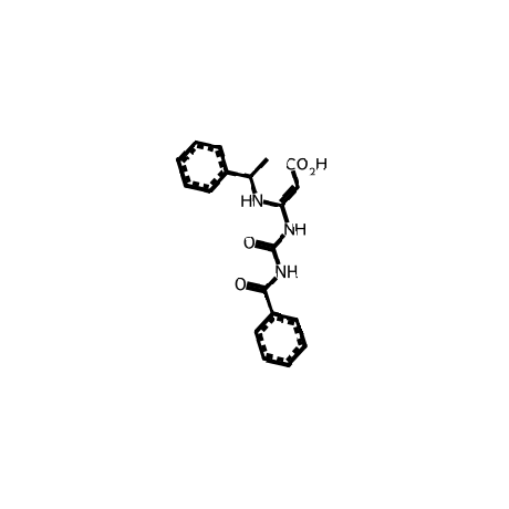 CC(NC(=CC(=O)O)NC(=O)NC(=O)c1ccccc1)c1ccccc1